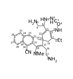 CCC1=C2NOCNNC(CN)C2=CC(C)(/C(CCN)=C(/NC)c2ccc3ccccc3c2C#N)C1